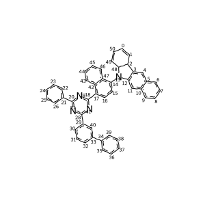 C1=CC2c3cc4ccccc4cc3N(c3ccc(-c4nc(-c5ccccc5)nc(-c5cccc(-c6ccccc6)c5)n4)c4ccccc34)C2C=C1